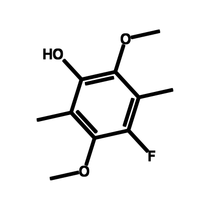 COc1c(C)c(F)c(OC)c(C)c1O